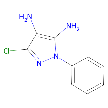 Nc1c(Cl)nn(-c2ccccc2)c1N